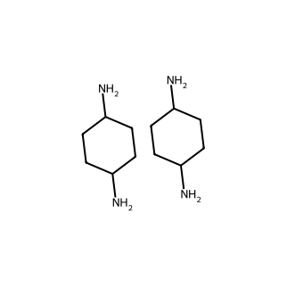 NC1CCC(N)CC1.NC1CCC(N)CC1